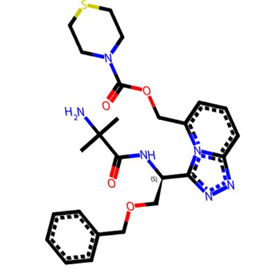 CC(C)(N)C(=O)N[C@H](COCc1ccccc1)c1nnc2cccc(COC(=O)N3CCSCC3)n12